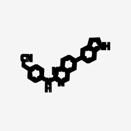 N#CCc1ccc(Nc2ncc3cc(-c4ccc5[nH]ccc5c4)ccc3n2)cc1